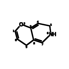 C1=COC2=CCNC=C2C1